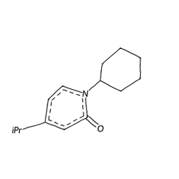 CC(C)c1ccn(C2CCCCC2)c(=O)c1